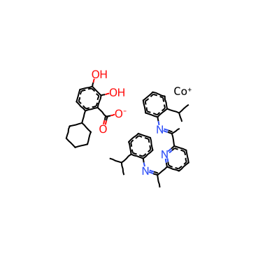 CC(=Nc1ccccc1C(C)C)c1cccc(C(C)=Nc2ccccc2C(C)C)n1.O=C([O-])c1c(C2CCCCC2)ccc(O)c1O.[Co+]